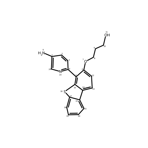 Nc1ccc(-c2c(OCCCO)ccc3c2sc2ccccc23)nc1